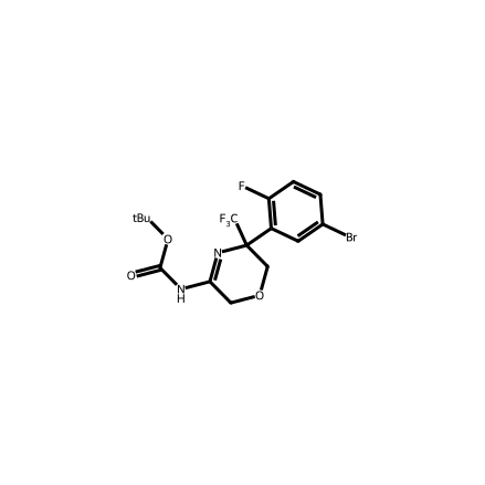 CC(C)(C)OC(=O)NC1=NC(c2cc(Br)ccc2F)(C(F)(F)F)COC1